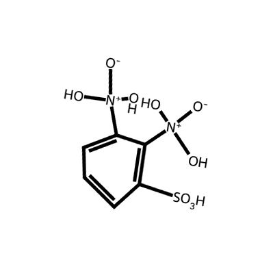 O=S(=O)(O)c1cccc([N+]([O-])(O)O)c1[N+]([O-])(O)O